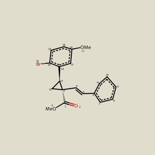 COC(=O)[C@]1(/C=C/c2ccccc2)C[C@H]1c1cc(OC)ccc1Br